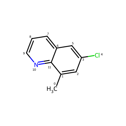 Cc1cc(Cl)cc2cccnc12